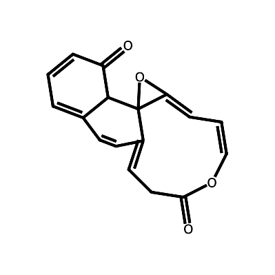 O=C1C/C=C2\C=CC3=CC=CC(=O)C3C23O/C3=C\C=C/O1